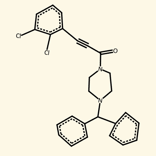 O=C(C#Cc1cccc(Cl)c1Cl)N1CCN(C(c2ccccc2)c2ccccc2)CC1